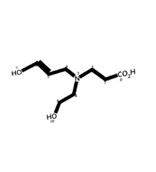 O=C(O)CCN(CC=CO)CCO